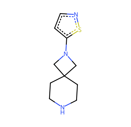 c1cc(N2CC3(CCNCC3)C2)sn1